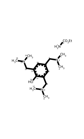 CCOC(N)=O.CN(C)Cc1cc(CN(C)C)c(O)c(CN(C)C)c1